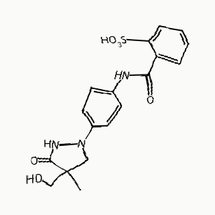 CC1(CO)CN(c2ccc(NC(=O)c3ccccc3S(=O)(=O)O)cc2)NC1=O